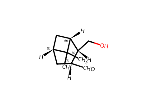 CC1(C)[C@@H]2C[C@@H](C=O)[C@@H](CO)[C@H]1C2